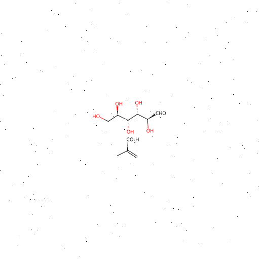 C=C(C)C(=O)O.O=C[C@@H](O)[C@@H](O)[C@H](O)[C@H](O)CO